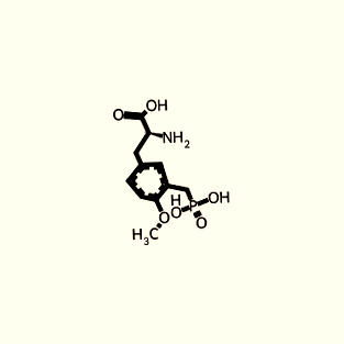 COc1ccc(C[C@H](N)C(=O)O)cc1CP(=O)(O)O